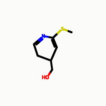 CSC1=CC(CO)CC=N1